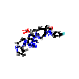 CC1(C(=O)Nc2ccc(F)cc2)CCN(c2nc3[nH]nc(N4CCCc5ncccc54)c3nc2CO)CC1